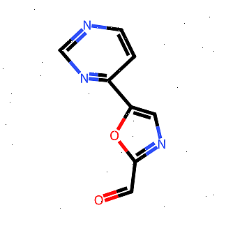 O=Cc1ncc(-c2ccncn2)o1